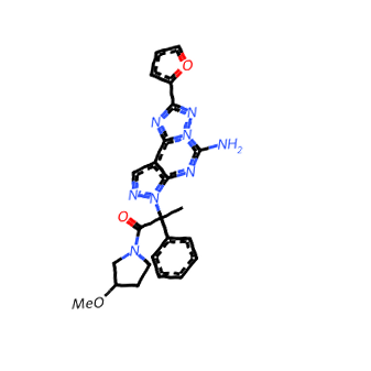 COC1CCN(C(=O)C(C)(c2ccccc2)n2ncc3c2nc(N)n2nc(-c4ccco4)nc32)C1